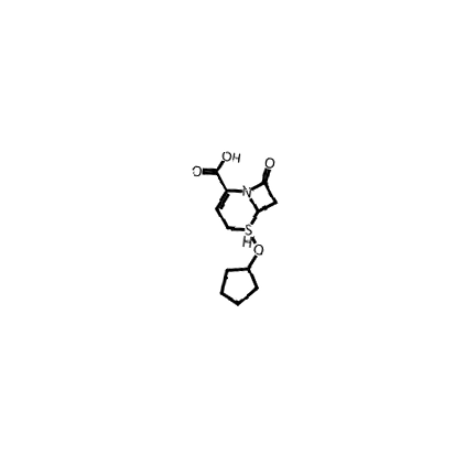 O=C(O)C1=CC[SH](OC2CCCC2)C2CC(=O)N12